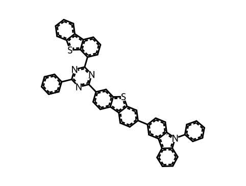 c1ccc(-c2nc(-c3ccc4c(c3)sc3cc(-c5ccc6c(c5)c5ccccc5n6-c5ccccc5)ccc34)nc(-c3cccc4c3sc3ccccc34)n2)cc1